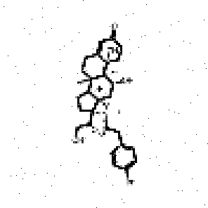 C[C@]12CCC(=O)C=C1CC[C@@H]1[C@@H]2[C@@H](O)C[C@@]2(C)[C@H]1CC[C@]2(OC(=O)Cc1ccc(Br)cc1)C(=O)CO